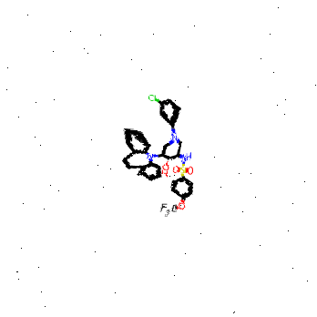 O=S(=O)(NC1CN(c2cccc(Cl)c2)CC(N2c3ccccc3CCc3ccccc32)[C@H]1O)c1ccc(OC(F)(F)F)cc1